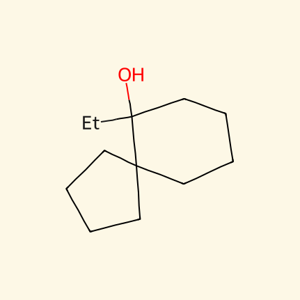 CCC1(O)CCCCC12CCCC2